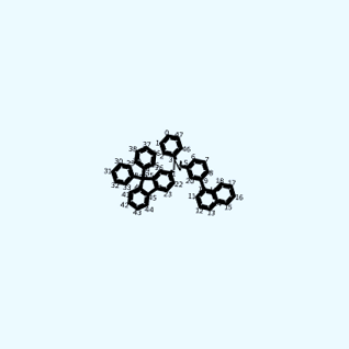 c1ccc(N(c2cccc(-c3cccc4ccccc34)c2)c2ccc3c(c2)C(c2ccccc2)(c2ccccc2)c2ccccc2-3)cc1